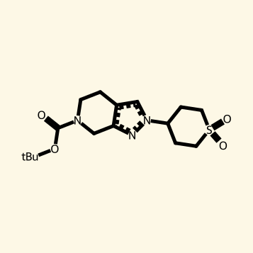 CC(C)(C)OC(=O)N1CCc2cn(C3CCS(=O)(=O)CC3)nc2C1